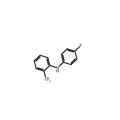 Fc1ccc(Nc2ccccc2C(F)(F)F)cc1